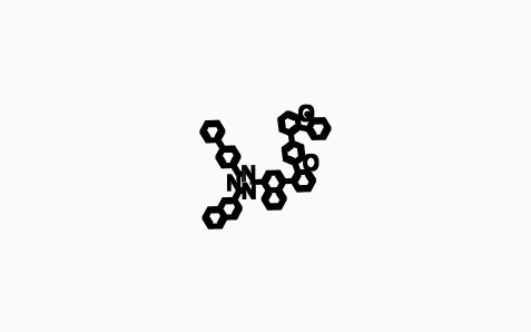 c1ccc(-c2ccc(-c3nc(-c4ccc5ccccc5c4)nc(-c4ccc(-c5cccc6oc7cc(-c8cccc9oc%10ccccc%10c89)ccc7c56)c5ccccc45)n3)cc2)cc1